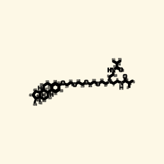 CC(C)C(=O)NCCN(CCNC(=O)C(C)C)CCOCCOCCOCCOc1ccc2c(c1)CC[C@@H]1[C@@H]2CC[C@]2(C)[C@@H](C)CC[C@@H]12